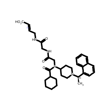 C[C@H](c1cccc2ccccc12)N1CCC(N(CC(=O)NCC(=O)NC/C=C/C(=O)O)C(=O)C2CCCCC2)CC1